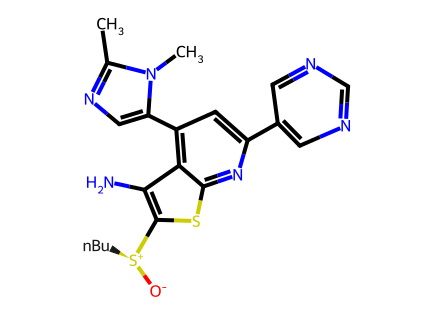 CCCC[S@+]([O-])c1sc2nc(-c3cncnc3)cc(-c3cnc(C)n3C)c2c1N